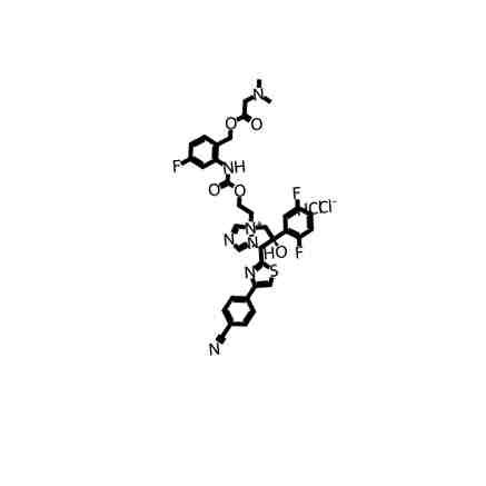 C[C@@H](c1nc(-c2ccc(C#N)cc2)cs1)[C@](O)(C[N+]1(CCOC(=O)Nc2cc(F)ccc2COC(=O)CN(C)C)C=NC=N1)c1cc(F)ccc1F.Cl.[Cl-]